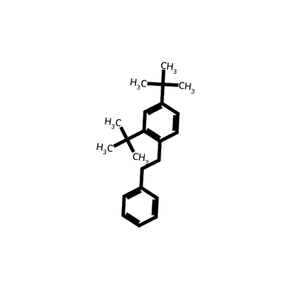 CC(C)(C)c1ccc(CCc2ccccc2)c(C(C)(C)C)c1